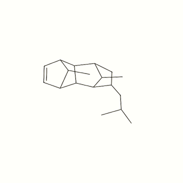 CC(C)CC1CC2C(C)C1C1C3C=CC(C3C)C21